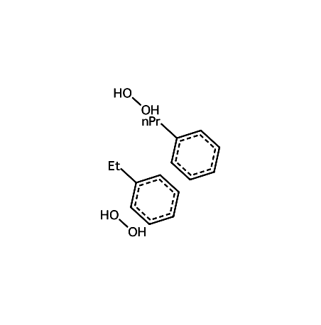 CCCc1ccccc1.CCc1ccccc1.OO.OO